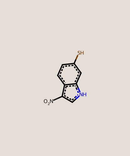 O=[N+]([O-])c1c[nH]c2cc(S)ccc12